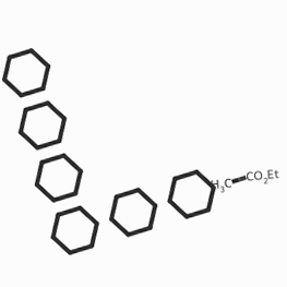 C1CCCCC1.C1CCCCC1.C1CCCCC1.C1CCCCC1.C1CCCCC1.C1CCCCC1.CCOC(C)=O